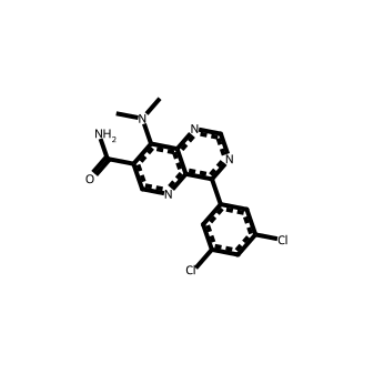 CN(C)c1c(C(N)=O)cnc2c(-c3cc(Cl)cc(Cl)c3)ncnc12